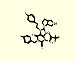 Cn1c2c(c(=O)n(Cc3ccc(F)cc3)c1=O)N(CCc1ccc(F)cc1)C(N1CCC3CNCC31)N2OC(=O)C(F)(F)F